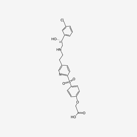 O=C(O)COc1ccc(S(=O)(=O)c2ccc(CCNC[C@H](O)c3cccc(Cl)c3)cn2)cc1